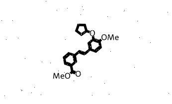 COC(=O)c1cccc(/C=C/c2ccc(OC)c(OC3CCCC3)c2)c1